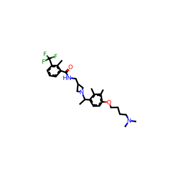 Cc1c(C(=O)NCC2CN(C(C)c3ccc(OCCCCN(C)C)c(C)c3C)C2)cccc1C(F)(F)F